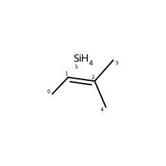 CC=C(C)C.[SiH4]